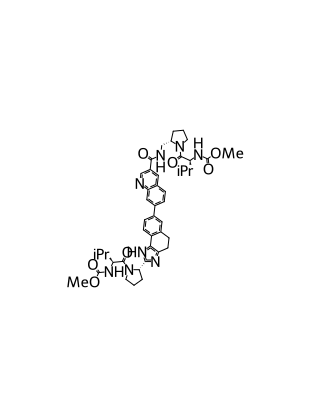 COC(=O)N[C@H](C(=O)N1CCC[C@H]1CNC(=O)c1cnc2cc(-c3ccc4c(c3)CCc3nc([C@@H]5CCCN5C(=O)[C@@H](NC(=O)OC)C(C)C)[nH]c3-4)ccc2c1)C(C)C